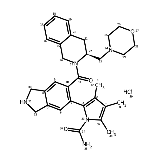 Cc1c(C)c(-c2cc3c(cc2C(=O)N2Cc4ccccc4C[C@H]2CN2CCOCC2)CNC3)n(C(N)=O)c1C.Cl